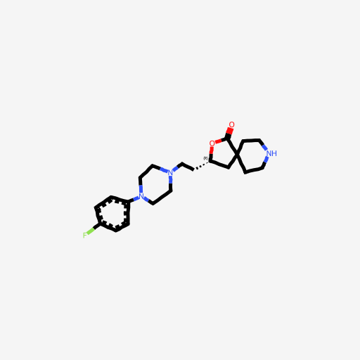 O=C1O[C@@H](CCN2CCN(c3ccc(F)cc3)CC2)CC12CCNCC2